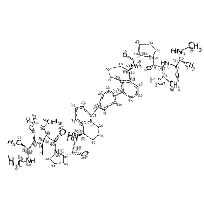 CN[C@@H](C)C(=O)N[C@H](C(=O)N1CCC[C@H]1C(=O)N[C@@H]1CCCc2c(-c3ccc(-c4cccc5c4CCC[C@H]5NC(=O)[C@@H]4CCCN4C(=O)[C@@H](NC(=O)[C@H](C)NC)C(C)C)cc3)cccc21)C(C)C